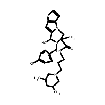 CC1CC(C)CN(CCCNC(=O)C2(C)Cn3c(cc4occc43)C(O)N2Cc2ccc(Cl)cc2)C1